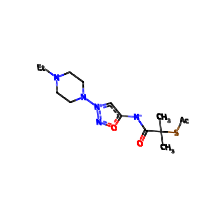 CCN1CCN([n+]2cc([N-]C(=O)C(C)(C)SC(C)=O)on2)CC1